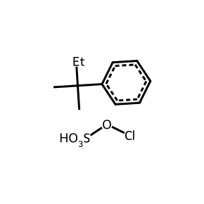 CCC(C)(C)c1ccccc1.O=S(=O)(O)OCl